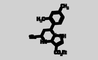 CCOC(=O)C1=CNN2C1NC(C(C)(C)C)CC2c1ccc(C)cc1C